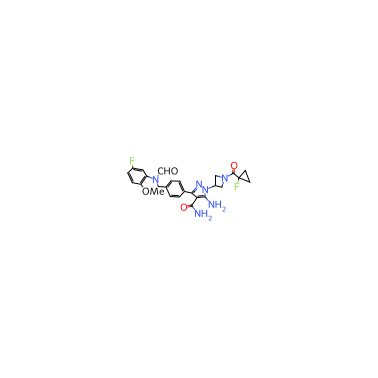 COc1ccc(F)cc1N(C=O)Cc1ccc(-c2nn(C3CN(C(=O)C4(F)CC4)C3)c(N)c2C(N)=O)cc1